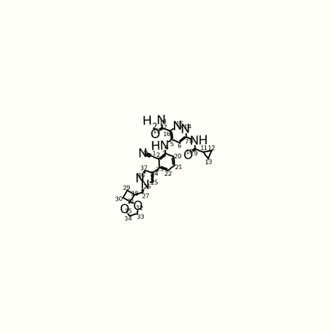 N#Cc1c(Nc2cc(NC(=O)C3CC3)nnc2C(N)=O)cccc1C1=C/[N+](=C/C2CCC23OCCO3)N=C1